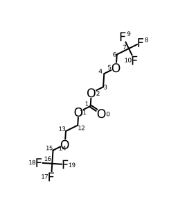 O=C(OCCOCC(F)(F)F)OCCOCC(F)(F)F